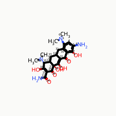 CN(C)c1cc(N)c(O)c2c1CC1CC3[C@H](N(C)C)C(O)=C(C(N)=O)C(=O)[C@@]3(O)C(O)=C1C2=O